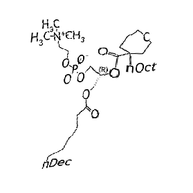 CCCCCCCCCCCCCCCC(=O)OC[C@H](COP(=O)([O-])OCC[N+](C)(C)C)OC(=O)C1(CCCCCCCC)CCCCCC1